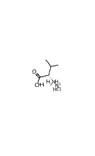 CC(C)[C@H](N)C(=O)O.Cl.N